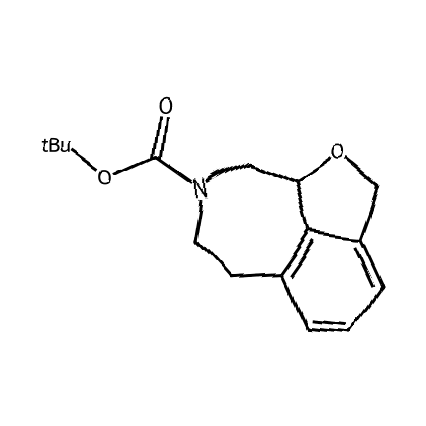 CC(C)(C)OC(=O)N1CCc2cccc3c2C(C1)OC3